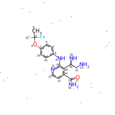 CC(F)(F)Oc1ccc(Nc2nccc(C(N)=O)c2C(=N)CN)cc1